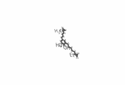 CCC1(CCCCCc2cc(CCCCC3(C)CC3)cc(O)c2O)CC1